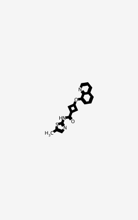 Cc1cnc(NC(=O)C2CC(Oc3cccc4cccnc34)C2)s1